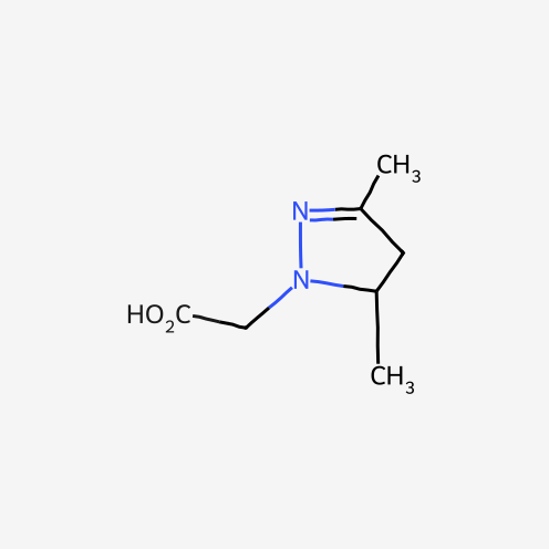 CC1=NN(CC(=O)O)C(C)C1